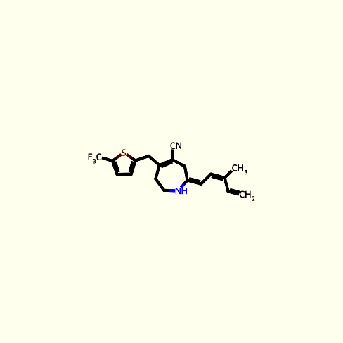 C=C/C(C)=C\C=C1/CC(C#N)=C(Cc2ccc(C(F)(F)F)s2)CCN1